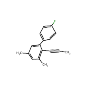 CC#Cc1c(C)cc(C)cc1-c1ccc(F)cc1